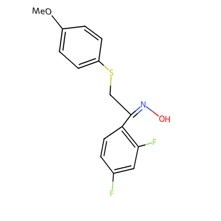 COc1ccc(SCC(=NO)c2ccc(F)cc2F)cc1